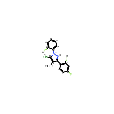 O=Cc1c(-c2ccc(F)cc2F)nn(-c2ccccc2F)c1Cl